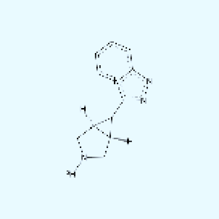 [2H]N1C[C@@H]2C(c3nnc4ccccn34)[C@@H]2C1